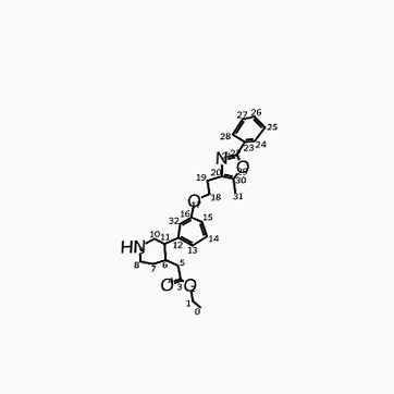 CCOC(=O)CC1CCNCC1c1cccc(OCCc2nc(-c3ccccc3)oc2C)c1